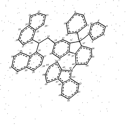 c1ccc(C2(c3ccccc3)c3cc(CC(c4cccc5ccccc45)c4cccc5ccccc45)ccc3-c3c(-n4c5ccccc5c5ccccc54)cccc32)cc1